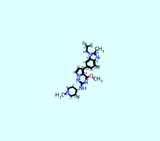 COc1nc(N[C@H]2CCN(C)C[C@@H]2F)nn2ccc(-c3cc(F)c4nc(C)n(CC(F)F)c4c3)c12